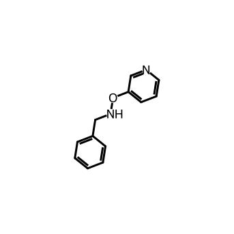 c1ccc(CNOc2cccnc2)cc1